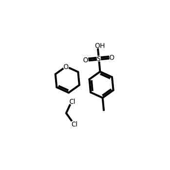 C1=CCOCC1.Cc1ccc(S(=O)(=O)O)cc1.ClCCl